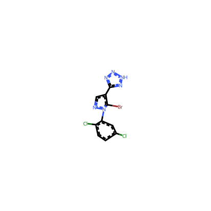 Clc1ccc(Cl)c(-n2ncc(-c3nn[nH]n3)c2Br)c1